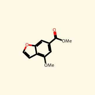 COC(=O)c1cc(OC)c2ccoc2c1